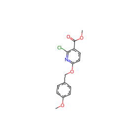 COC(=O)c1ccc(OCc2ccc(OC)cc2)nc1Cl